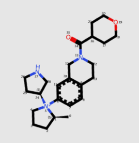 C[C@H]1CCC[N+]1(c1ccc2c(c1)CN(C(=O)C1CCOCC1)CC2)[C@H]1CCNC1